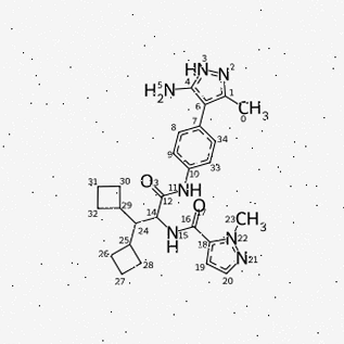 Cc1n[nH]c(N)c1-c1ccc(NC(=O)C(NC(=O)c2ccnn2C)C(C2CCC2)C2CCC2)cc1